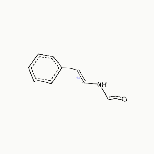 O=CN/[C]=C/c1ccccc1